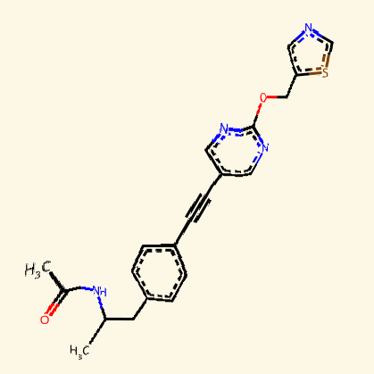 CC(=O)NC(C)Cc1ccc(C#Cc2cnc(OCc3cncs3)nc2)cc1